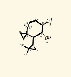 O[C@@H]1[C@@H]([C@@H]2CC2(F)F)C2(CC2)NC[C@H]1O